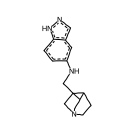 c1cc2[nH]ncc2cc1NCC1CN2CCC1CC2